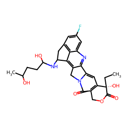 CC[C@@]1(O)C(=O)OCc2c1cc1n(c2=O)Cc2c-1nc1cc(F)cc3c1c2C(NC(O)CCC(C)O)C3